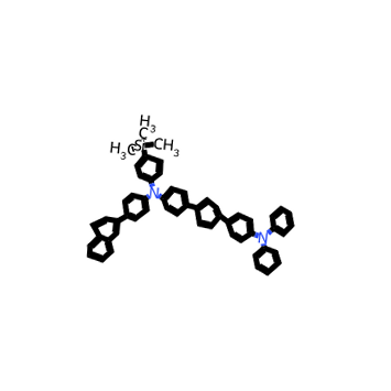 C[Si](C)(C)c1ccc(N(c2ccc(-c3ccc(-c4ccc(N(c5ccccc5)c5ccccc5)cc4)cc3)cc2)c2ccc(-c3ccc4ccccc4c3)cc2)cc1